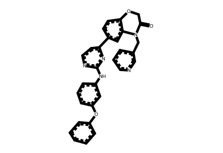 O=C1COc2ccc(-c3ccnc(Nc4cccc(Oc5ccccc5)c4)n3)cc2N1Cc1cccnc1